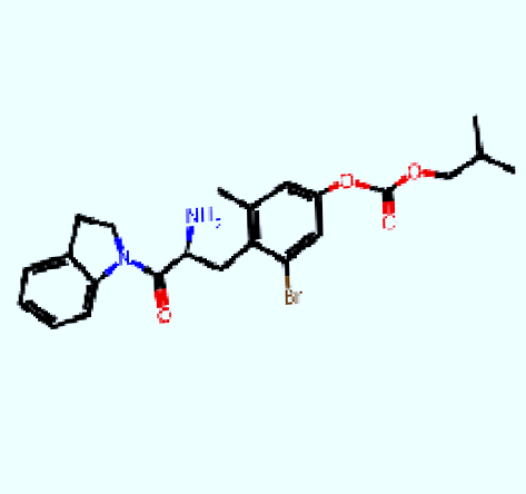 Cc1cc(OC(=O)OCC(C)C)cc(Br)c1C[C@H](N)C(=O)N1CCc2ccccc21